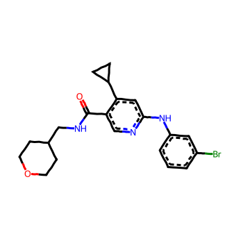 O=C(NCC1CCOCC1)c1cnc(Nc2cccc(Br)c2)cc1C1CC1